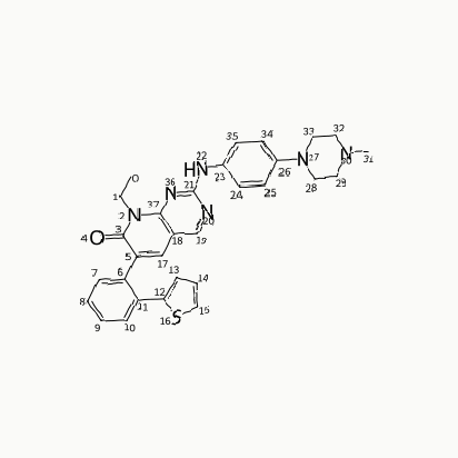 CCn1c(=O)c(-c2ccccc2-c2cccs2)cc2cnc(Nc3ccc(N4CCN(C)CC4)cc3)nc21